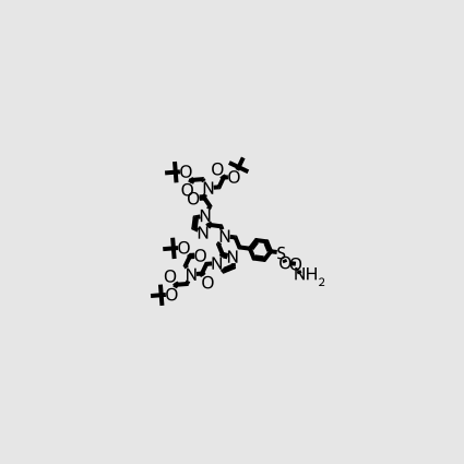 CC(C)(C)OC(=O)CN(CC(=O)OC(C)(C)C)C(=O)Cn1ccnc1CN(CCc1ccc(SOON)cc1)Cc1nccn1CC(=O)N(CC(=O)OC(C)(C)C)CC(=O)OC(C)(C)C